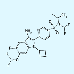 C[C@H](N(C(F)F)S(=O)(=O)c1ccc(-c2c(N)c3cc(F)c(OC(F)F)cc3n2C2CCC2)nc1)C(F)(F)F